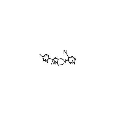 Cc1ccc(-c2cc3n(n2)CCN(c2cnccc2C#N)C3)nc1